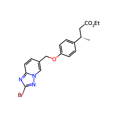 CCOC(=O)C[C@H](C)c1ccc(OCc2ccc3nc(Br)nn3c2)cc1